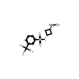 O=S(=O)(C[C@H]1C[C@H](NCl)C1)c1cccc(C(F)(F)F)c1